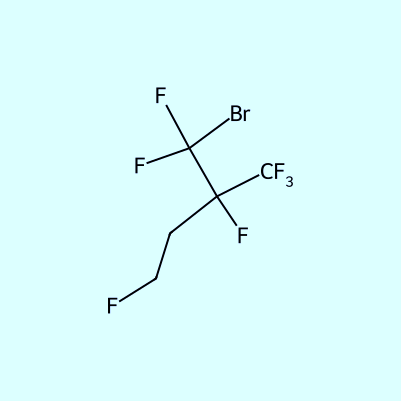 FCCC(F)(C(F)(F)F)C(F)(F)Br